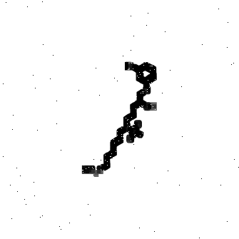 CCc1cccc(OCC(O)CCCN(CC=CCCCC(=O)O)S(C)(=O)=O)c1